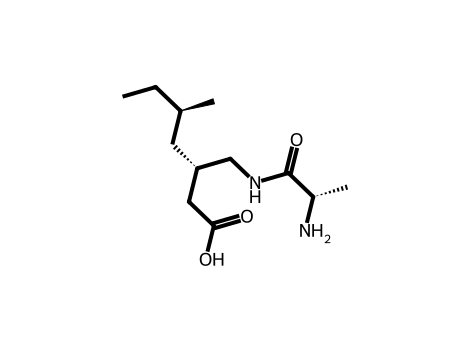 CC[C@@H](C)C[C@H](CNC(=O)[C@H](C)N)CC(=O)O